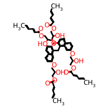 C/C=C/C=C/C(=O)OCC(O)COc1ccc2ccc(OCC(O)COC(=O)/C=C/C=C/C)c(Cc3c(OCC(O)COC(=O)/C=C/C=C/C)ccc4ccc(OCC(O)COC(=O)/C=C/C=C/C)cc34)c2c1